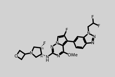 COc1nc(N[C@@H]2CN(C3COC3)C[C@@H]2F)nn2cc(F)c(-c3ccc4nnn(CC(F)F)c4c3)c12